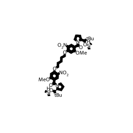 COc1cc(OCCCCCOc2cc(OC)c(C(=O)N3CCC[C@H]3C(O[SiH](C)C)C(C)(C)C)cc2[N+](=O)[O-])c([N+](=O)[O-])cc1C(=O)N1CCCC1C(O[SiH](C)C)C(C)(C)C